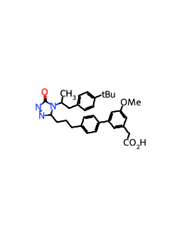 COc1cc(CC(=O)O)cc(-c2ccc(CCCC3N=NC(=O)N3C(C)Cc3ccc(C(C)(C)C)cc3)cc2)c1